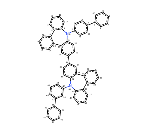 c1ccc(-c2ccc(N3c4ccccc4-c4ccccc4-c4cc(-c5ccc6c(c5)-c5ccccc5-c5ccccc5N6c5cccc(-c6ccccc6)c5)ccc43)cc2)cc1